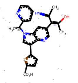 CC(=N)/C(=C(/C)O)c1cnc2c(-c3ccc(C(=O)O)s3)cn([C@@H](C)c3ccccn3)c2c1